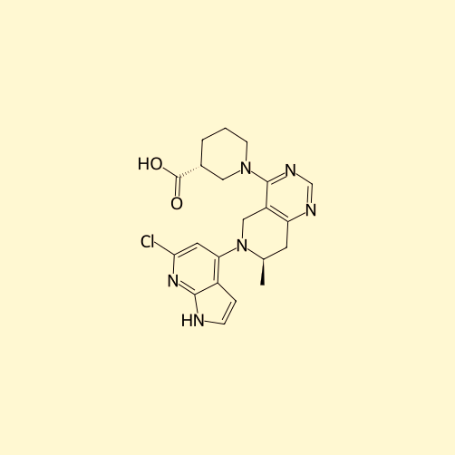 C[C@@H]1Cc2ncnc(N3CCC[C@@H](C(=O)O)C3)c2CN1c1cc(Cl)nc2[nH]ccc12